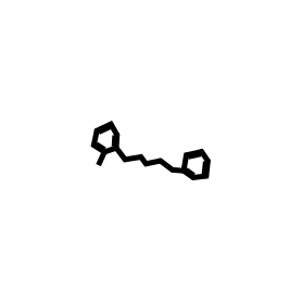 Cc1ccccc1CCCCCc1ccccc1